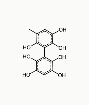 Cc1cc(O)c(O)c(-c2c(O)c(O)cc(O)c2O)c1O